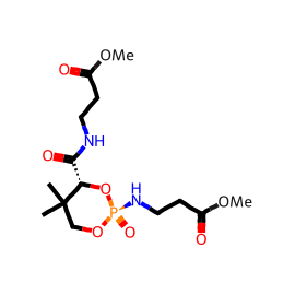 COC(=O)CCNC(=O)[C@@H]1O[P@@](=O)(NCCC(=O)OC)OCC1(C)C